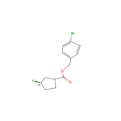 O=C(OCc1ccc(Br)cc1)C1CC[C@@H](F)C1